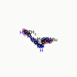 Cc1cc(CCN2CCN(c3ccc(-c4cnc5[nH]nc(-c6ccc(C(C)N(C)C(=O)c7noc(C(C)(C)C)n7)c(C)c6)c5c4)nc3)CC2)ncc1C1CCC(=O)NC1=O